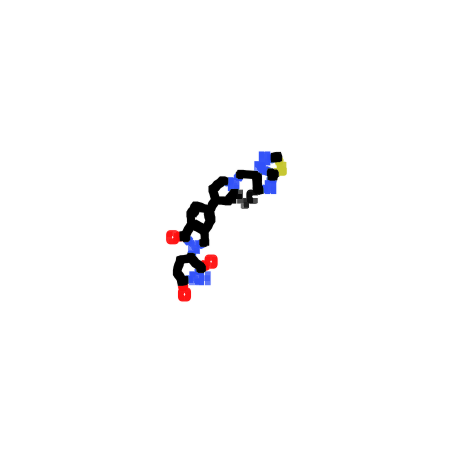 Cc1nc2scnn2c1CN1CCC(c2ccc3c(c2)CN(C2CCC(=O)NC2=O)C3=O)CC1